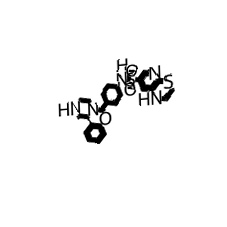 O=C(C1CCC(NS(=O)(=O)c2cnc3c(c2)NCCS3)CC1)N1CCNC[C@@H]1c1ccccc1